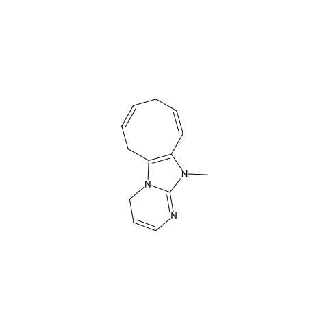 CN1C2=NC=CCN2C2=C1/C=C\C/C=C\C2